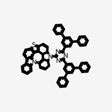 C1=CC2=C3C4c5c(sc6ccc7c8ccccc8n2c7c56)C=CC4N(c2nc(-c4cc(-c5ccccc5)cc(-c5ccccc5)c4)nc(-c4cc(-c5ccccc5)cc(-c5ccccc5)c4)n2)C3C1